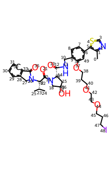 Cc1ncsc1-c1ccc(CNC(=O)[C@@H]2C[C@@H](O)CN2C(=O)[C@H](C(C)C)N2Cc3ccccc3C2=O)c(OCCCOCCOCCCI)c1